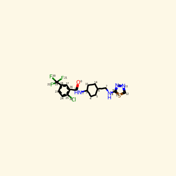 O=C(NC1CCC(CNc2nncs2)CC1)c1cc(C(F)(F)F)ccc1Cl